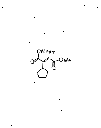 COC(=O)C(=C(C(=O)OC)C1CCCC1)C(C)C